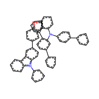 c1ccc(-c2ccc(N(c3cc(-c4ccccc4)ccc3-c3ccccc3)c3cccc4oc5ccc(-c6ccc7c(c6)c6ccccc6n7-c6ccccc6)cc5c34)cc2)cc1